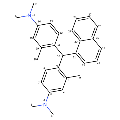 Cc1cc(N(C)C)ccc1C(c1ccc(N(C)C)cc1C)c1cccc2ccccc12